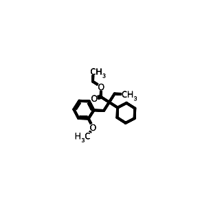 CCOC(=O)C(CC)(Cc1ccccc1OC)C1CCCCC1